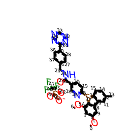 COc1cc(OC)c2c(c1)c1cc(C)ccc1[s+]2-c1ccc(C(=O)NCc2ccc(-c3nncnn3)cc2)cn1.O=S(=O)([O-])C(F)(F)F